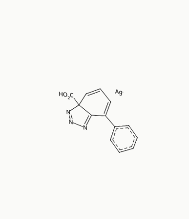 O=C(O)C12C=CC=C(c3ccccc3)C1=NN=N2.[Ag]